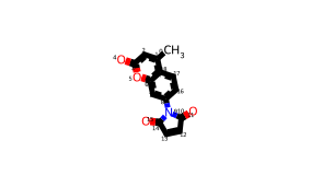 Cc1cc(=O)oc2cc(N3C(=O)C=CC3=O)ccc12